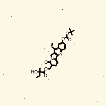 CCc1c2c(nc3ccc(OC(=O)OC(C)(C)C)cc13)-c1ccc(COC(=O)C(C)(O)CC)c(=O)n1C2